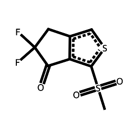 CS(=O)(=O)c1scc2c1C(=O)C(F)(F)C2